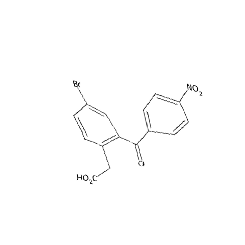 O=C(O)Cc1ccc(Br)cc1C(=O)c1ccc([N+](=O)[O-])cc1